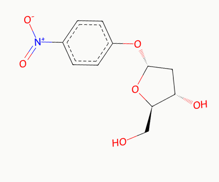 O=[N+]([O-])c1ccc(O[C@@H]2C[C@H](O)[C@@H](CO)O2)cc1